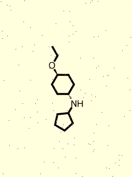 CCO[C@H]1CC[C@H](NC2CCCC2)CC1